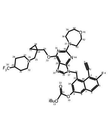 C#Cc1c(F)ccc2cc(OC(=O)OCC(C)C)cc(Cn3cnc4c(OCC5(CN6CCC(C(F)(F)F)CC6)CC5)nc(N5CCCOCC5)nc43)c12